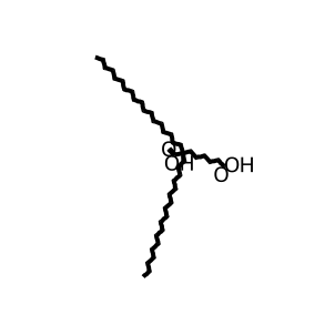 CCCCCCCCCCCCCCCCCCC(CCCCCCCCCCCCCCCCCC)(CCCCCC(=O)O)C(=O)O